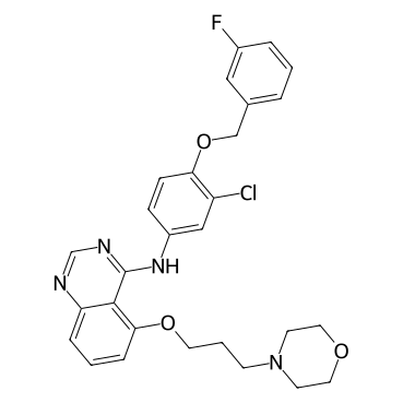 Fc1cccc(COc2ccc(Nc3ncnc4cccc(OCCCN5CCOCC5)c34)cc2Cl)c1